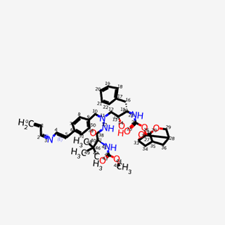 C=C/C=N\C=C\c1ccc(CN(C[C@H](O)[C@H](Cc2ccccc2)NC(=O)OC2C3COC4OC2CC4C3)NC(=O)[C@@H](NC(=O)OC)C(C)(C)C)cc1